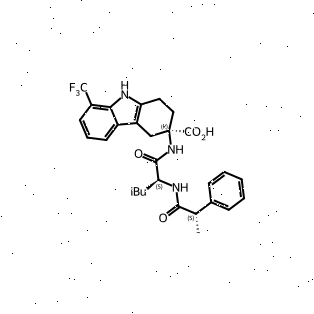 CCC(C)[C@H](NC(=O)[C@@H](C)c1ccccc1)C(=O)N[C@]1(C(=O)O)CCc2[nH]c3c(C(F)(F)F)cccc3c2C1